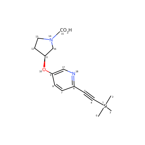 C[Si](C)(C)C#Cc1ccc(O[C@H]2CCN(C(=O)O)C2)cn1